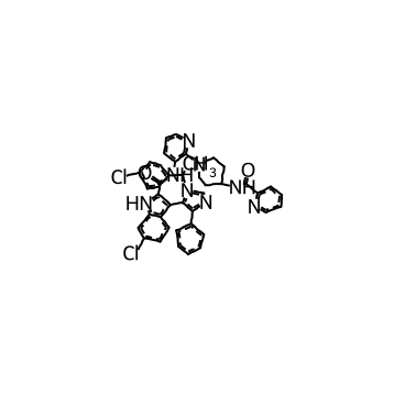 CC(c1ccc(Cl)cc1)n1cnc(-c2ccccc2)c1-c1c(C(=O)Nc2cccnc2N2CCC(NC(=O)c3ccccn3)CC2)[nH]c2cc(Cl)ccc12